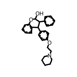 OC1Oc2ccccc2C(c2ccc(OCCN3CCCCC3)cc2)C1c1ccccc1